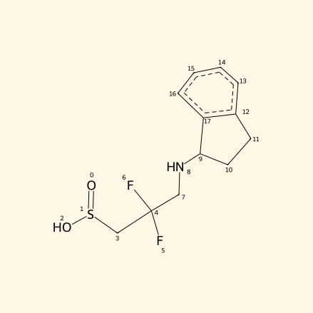 O=S(O)CC(F)(F)CNC1CCc2ccccc21